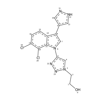 OCCn1cc(-n2cc(-c3cn[nH]c3)c3ccc(Cl)c(Cl)c32)nn1